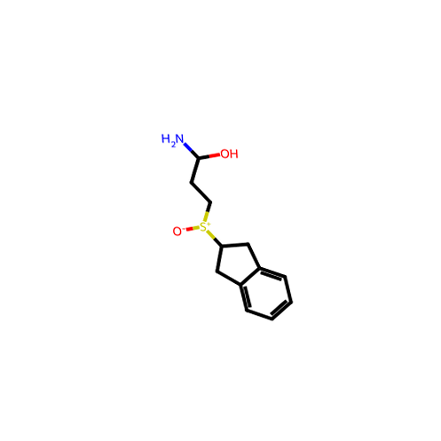 NC(O)CC[S+]([O-])C1Cc2ccccc2C1